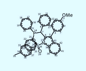 COc1ccc(-c2c(C(c3ccccc3)P(c3ccccc3)c3ccccc3)n(S(=O)(=O)c3ccc(C)cc3)c3ccccc23)cc1